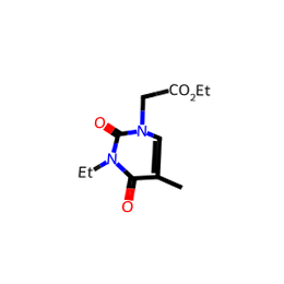 CCOC(=O)Cn1cc(C)c(=O)n(CC)c1=O